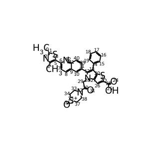 Cc1nc(C)c(-c2ccc3cc(-c4c(-c5ccccc5)c5sc(C(=O)O)cc5n4CC(=O)N4CC[S+]([O-])CC4)ccc3n2)s1